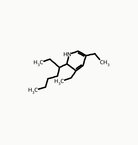 CCCCC(CC)C1NC=C(CC)C=C1CC